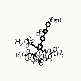 C=C(C)C(=O)OCCCc1cc(-c2ccc(-c3ccc(C4CCC(CCCCC)CC4)cc3F)c(CC)c2)cc(CCCOC(=O)C(=C)C)c1OCC(CN)(COC(=O)C(=C)C)COC(=O)C(=C)C